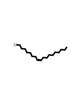 CCCCCCCCC/C=C\CCCCCCCCl